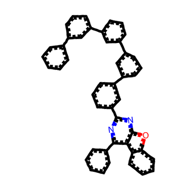 c1ccc(-c2cccc(-c3cccc(-c4cccc(-c5cccc(-c6nc(-c7ccccc7)c7c(n6)oc6ccccc67)c5)c4)c3)c2)cc1